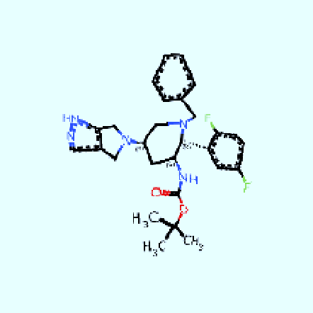 CC(C)(C)OC(=O)N[C@H]1C[C@@H](N2Cc3cn[nH]c3C2)CN(Cc2ccccc2)[C@@H]1c1cc(F)ccc1F